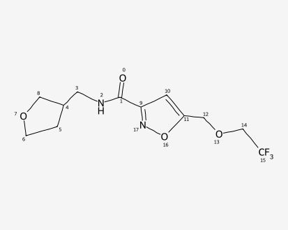 O=C(NCC1CCOC1)c1cc(COCC(F)(F)F)on1